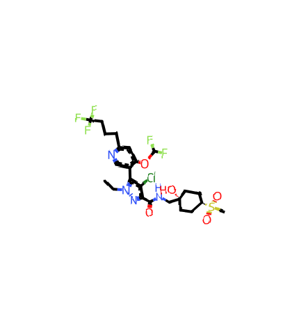 CCn1nc(C(=O)NC[C@]2(O)CC[C@@H](S(C)(=O)=O)CC2)c(Cl)c1-c1cnc(CCCC(F)(F)F)cc1OC(F)F